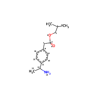 CC(C)COC(=O)Cc1ccc(C(C)N)cc1